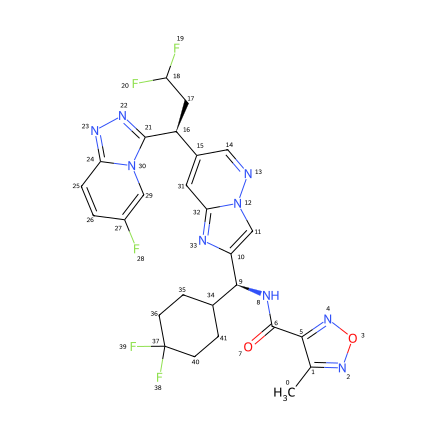 Cc1nonc1C(=O)N[C@H](c1cn2ncc([C@H](CC(F)F)c3nnc4ccc(F)cn34)cc2n1)C1CCC(F)(F)CC1